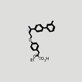 CCO[C@@H](Cc1ccc(OC/C=C(/C)c2ccc(-c3cccc(C)c3)cc2)cc1)C(=O)O